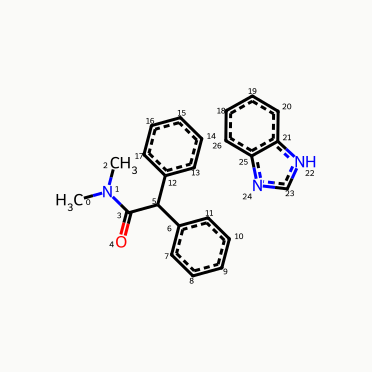 CN(C)C(=O)C(c1ccccc1)c1ccccc1.c1ccc2[nH]cnc2c1